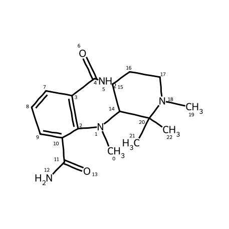 CN(c1c(C(N)=O)cccc1C(N)=O)C1CCCN(C)C1(C)C